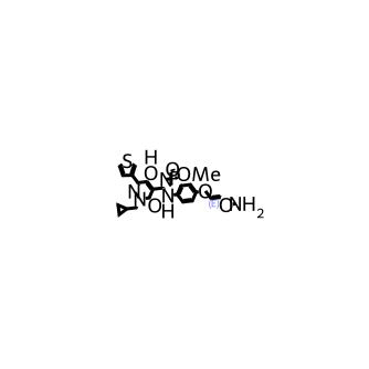 COP1(=O)N=C(c2c(O)c(-c3ccsc3)nn(CC3CC3)c2=O)Nc2ccc(O/C=C/ON)cc21